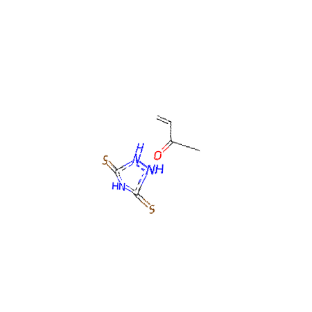 C=CC(C)=O.S=c1[nH][nH]c(=S)[nH]1